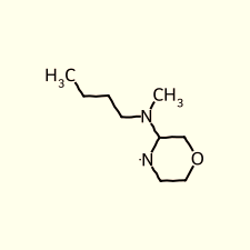 CCCCN(C)C1COCC[N]1